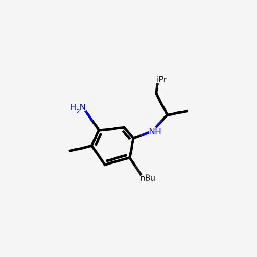 CCCCc1cc(C)c(N)cc1NC(C)CC(C)C